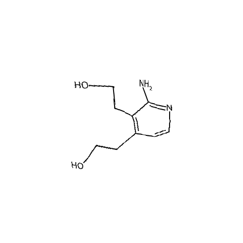 Nc1nccc(CCO)c1CCO